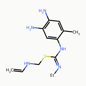 C=CNCS/C(=N\CC)Nc1cc(N)c(N)cc1C